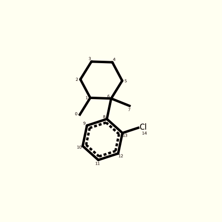 CC1CCCCC1(C)c1ccccc1Cl